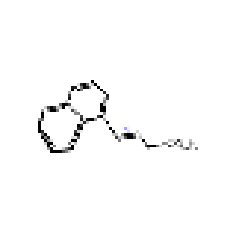 O=C(O)C/C=C/c1cccc2ccccc12